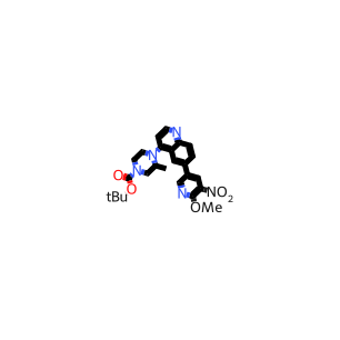 COc1ncc(-c2ccc3nccc(N4CCN(C(=O)OC(C)(C)C)CC4C)c3c2)cc1[N+](=O)[O-]